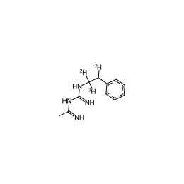 [2H]C(c1ccccc1)C([2H])([2H])NC(=N)NC(C)=N